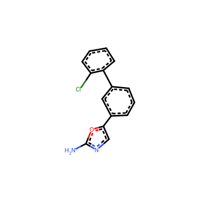 Nc1ncc(-c2cccc(-c3ccccc3Cl)c2)o1